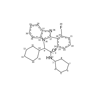 O=C(NC1CCCCC1)C(C1CCCCC1)n1c(-c2c(F)cccc2F)nc2ccccc21